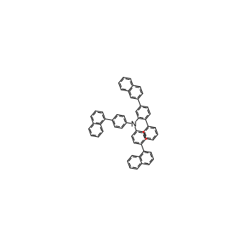 c1ccc(-c2ccc(-c3ccc4ccccc4c3)cc2N(c2ccc(-c3cccc4ccccc34)cc2)c2ccc(-c3cccc4ccccc34)cc2)cc1